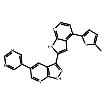 Cc1ccc(-c2ccnc3[nH]c(-c4n[nH]c5ncc(-c6cncnc6)cc45)cc23)s1